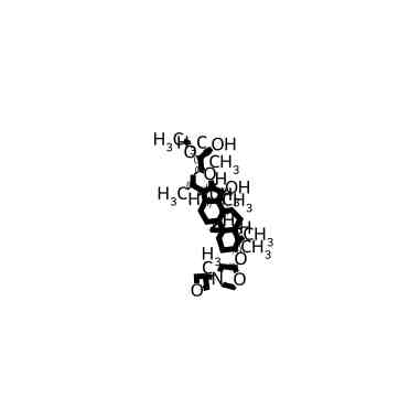 CCO[C@@H]([C@H]1C[C@@H](C)[C@H]2[C@H](O1)[C@H](O)[C@@]1(C)[C@@H]3CC[C@H]4C(C)(C)[C@@H](O[C@H]5CN(C6(C)COC6)CCO5)CCC45C[C@@]35CC[C@]21C)C(C)(C)O